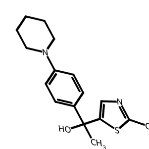 CC(O)(c1ccc(N2CCCCC2)cc1)c1cnc(Cl)s1